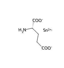 N[C@@H](CCC(=O)[O-])C(=O)[O-].[Sn+2]